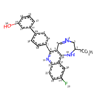 O=C(O)C1CN=Cc2c(-c3ccc(-c4cccc(O)c4)cc3)nc3ccc(F)cc3c2N1